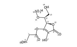 CCCCCCCCCCCC(=O)OC1=C(O)C(=O)O[C@@H]1[C@H](CO)OS(=O)(=O)O